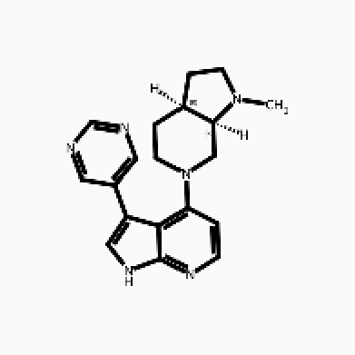 CN1CC[C@@H]2CCN(c3ccnc4[nH]cc(-c5cncnc5)c34)C[C@@H]21